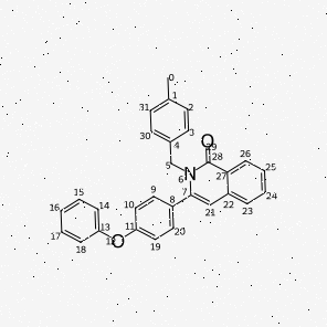 Cc1ccc(Cn2c(-c3ccc(Oc4ccccc4)cc3)cc3ccccc3c2=O)cc1